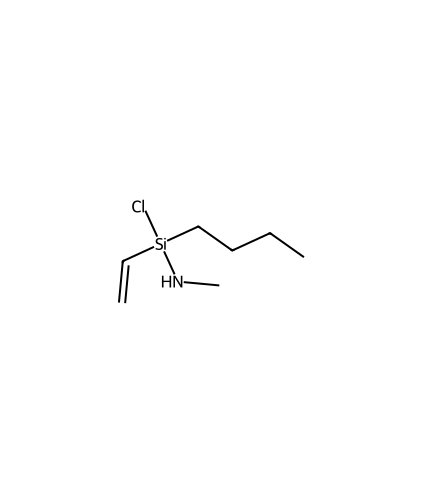 C=C[Si](Cl)(CCCC)NC